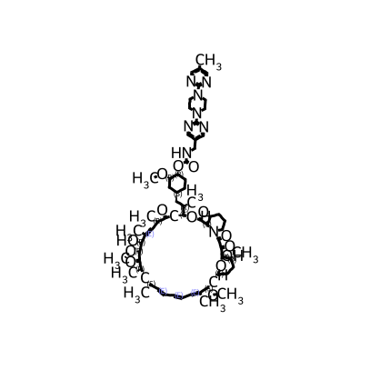 CO[C@H]1C[C@@H]2CC[C@@H](C)[C@@](O)(O2)C(=O)C(=O)N2CCCC[C@H]2C(=O)O[C@H]([C@H](C)C[C@@H]2CC[C@@H](OC(=O)NCc3cnc(N4CCN(c5ncc(C)cn5)CC4)nc3)[C@H](OC)C2)CC(=O)[C@H](C)/C=C(\C)[C@@H](O)[C@@H](OC)C(=O)[C@H](C)C[C@H](C)/C=C/C=C/C=C/1C